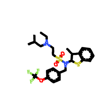 CCN(CCS(=O)(=O)N(Cc1ccc(OC(F)(F)F)cc1)C1Sc2ccccc2C1C)CC(C)C